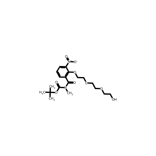 CN(C(=O)OC(C)(C)C)C(=O)c1cccc([N+](=O)[O-])c1OCCOCCOCCO